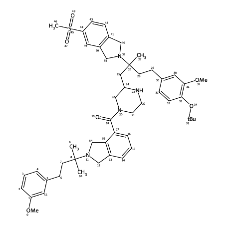 COc1cccc(CCC(C)(C)N2Cc3cccc(C(=O)N4CCNC(CC(C)(CCc5ccc(OC(C)(C)C)c(OC)c5)N5Cc6ccc(S(C)(=O)=O)cc6C5)C4)c3C2)c1